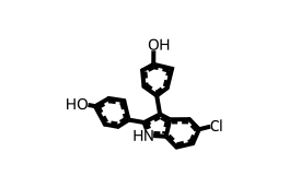 Oc1ccc(-c2[nH]c3ccc(Cl)cc3c2-c2ccc(O)cc2)cc1